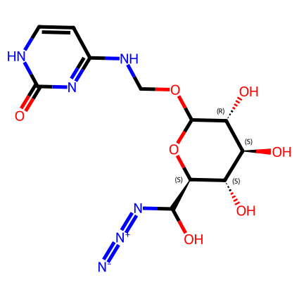 [N-]=[N+]=NC(O)[C@H]1OC(OCNc2cc[nH]c(=O)n2)[C@H](O)[C@@H](O)[C@@H]1O